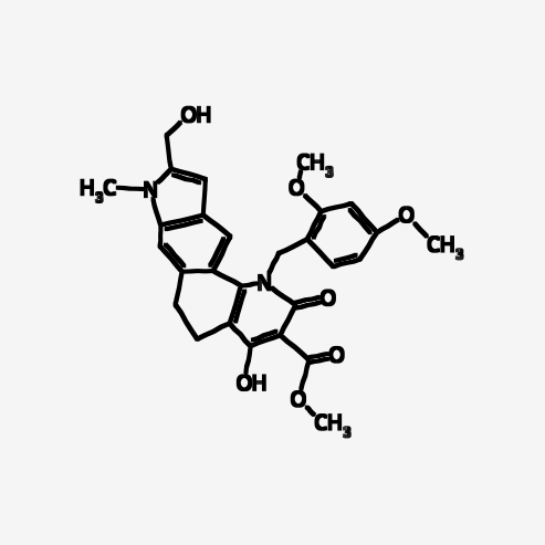 COC(=O)c1c(O)c2c(n(Cc3ccc(OC)cc3OC)c1=O)-c1cc3cc(CO)n(C)c3cc1CC2